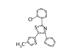 Cc1csc(-c2sc(-c3ccccc3Cl)nc2-c2ccccc2)c1